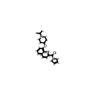 CC(C)N1CCC(Oc2cccc3ccc(C(=O)N4CC=CC4)nc23)CC1